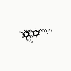 CCOC(=O)Cc1ccc(Oc2ccc(I)cc2[N+](=O)[O-])c(OC)c1